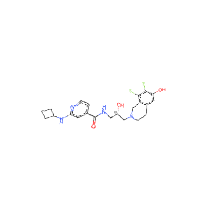 O=C(NC[C@H](O)CN1CCc2cc(O)c(F)c(F)c2C1)c1ccnc(NC2CCC2)c1